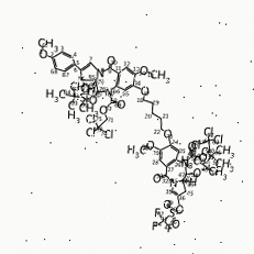 COc1ccc(C2=CN3C(=O)c4cc(OC)c(OCCCCCOc5cc6c(cc5OC)C(=O)N5C=C(OS(=O)(=O)C(F)(F)F)C[C@H]5[C@H](O[Si](C)(C)C(C)(C)C)N6C(=O)OCC(Cl)(Cl)Cl)cc4N(C(=O)OCC(Cl)(Cl)Cl)[C@@H](O[Si](C)(C)C(C)(C)C)[C@@H]3C2)cc1